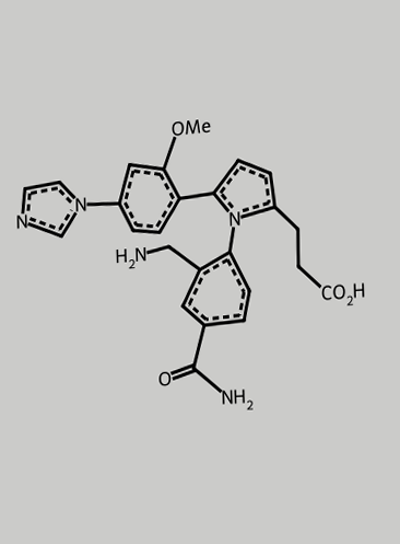 COc1cc(-n2ccnc2)ccc1-c1ccc(CCC(=O)O)n1-c1ccc(C(N)=O)cc1CN